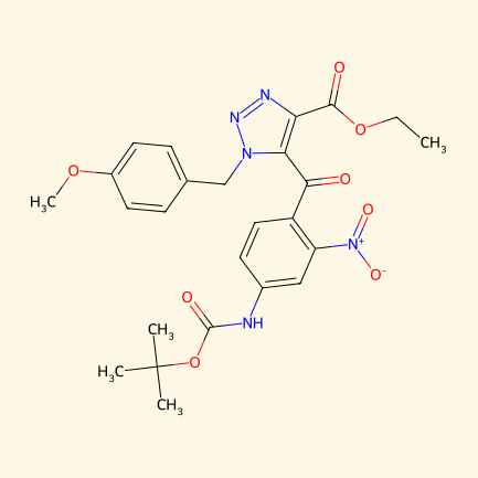 CCOC(=O)c1nnn(Cc2ccc(OC)cc2)c1C(=O)c1ccc(NC(=O)OC(C)(C)C)cc1[N+](=O)[O-]